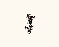 O=C(NCCN1CCOCC1)c1ccc(-c2ccc3c(c2)ncn3-c2cccc(N(C(=O)NCC(F)(F)F)c3ccccc3)c2)cc1